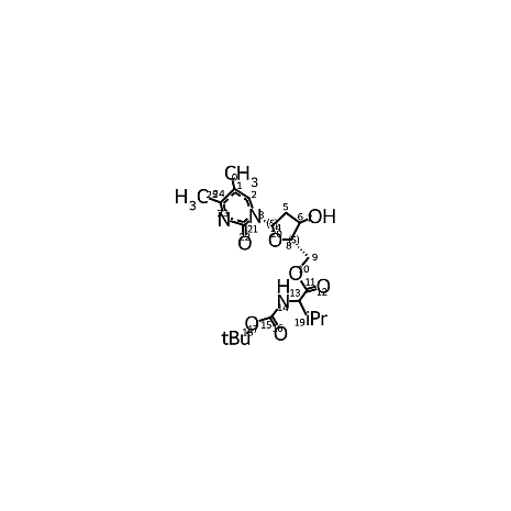 Cc1cn([C@@H]2CC(O)[C@H](COC(=O)C(NC(=O)OC(C)(C)C)C(C)C)O2)c(=O)nc1C